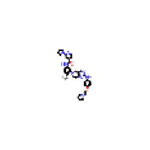 Cc1ccc(NC(=O)c2ccnc(N3CCCC3)c2)cc1N1CCc2nc(Nc3ccc(OCCN4CCCC4)cc3)ncc2C1